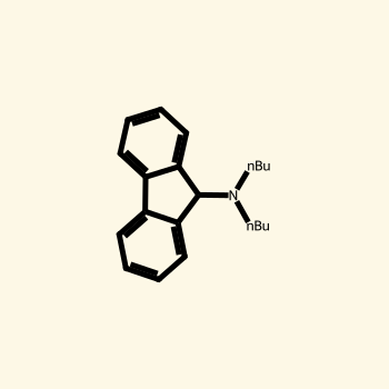 CCCCN(CCCC)C1c2ccccc2-c2ccccc21